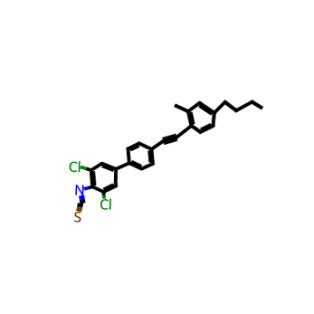 CCCCc1ccc(C#Cc2ccc(-c3cc(Cl)c(N=C=S)c(Cl)c3)cc2)c(C)c1